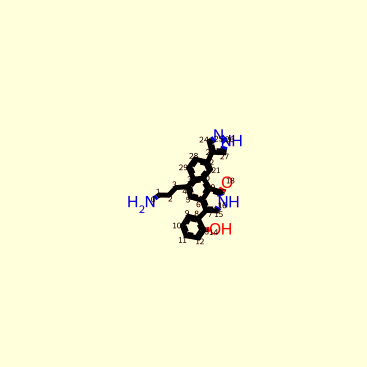 NCCCc1cc2c(-c3ccccc3O)c[nH]c(=O)c2c2cc(-c3cn[nH]c3)ccc12